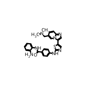 CN(C)Cc1ccc2ncc(-c3cnc(Nc4ccc(C(=O)Nc5ccccc5N)cc4)s3)n2c1